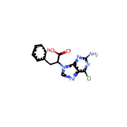 Nc1nc(Cl)c2ncn(C(Cc3ccccc3)C(=O)O)c2n1